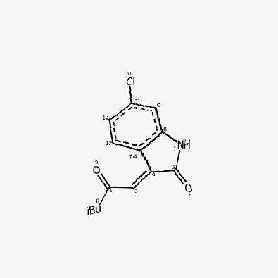 CCC(C)C(=O)/C=C1/C(=O)Nc2cc(Cl)ccc21